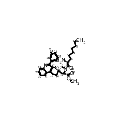 C=CCCCCC[C@H](N)C(=O)N1C[C@@]2(CCc3c(c(-c4cccc(F)c4)nc4ccccc34)O2)C[C@H]1C(=O)OC